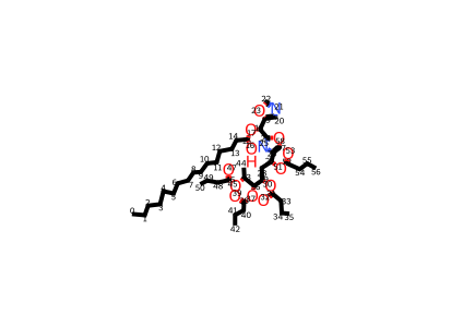 CCCCCCCCCCCCCCCC(O)OC(c1cnco1)c1nc(C(CC(OC(=O)CCC)C(OC(=O)CCC)C(C)OC(=O)CCC)OC(=O)CCC)co1